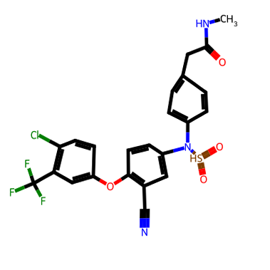 CNC(=O)Cc1ccc(N(c2ccc(Oc3ccc(Cl)c(C(F)(F)F)c3)c(C#N)c2)[SH](=O)=O)cc1